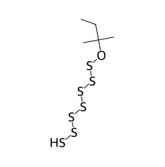 CCC(C)(C)OSSSSSSS